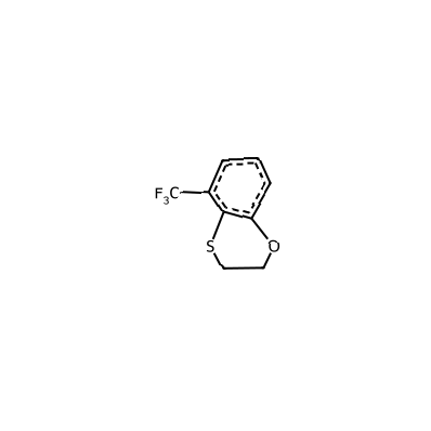 FC(F)(F)c1cccc2c1SCCO2